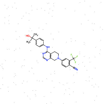 CC(C)(O)c1ccc(Nc2ncnc3c2CCN(c2ccc(C#N)c(C(F)(F)F)c2)C3)cc1